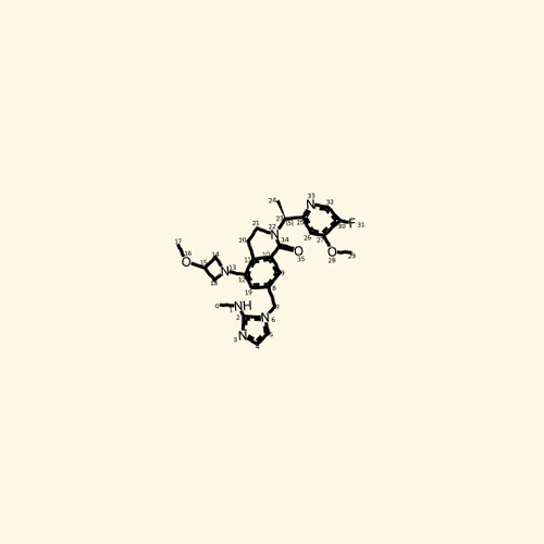 CNc1nccn1Cc1cc2c(c(N3CC(OC)C3)c1)CCN([C@@H](C)c1cc(OC)c(F)cn1)C2=O